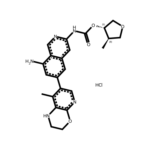 Cc1c(-c2cc(N)c3cnc(NC(=O)O[C@@H]4COC[C@H]4C)cc3c2)cnc2c1NCCO2.Cl